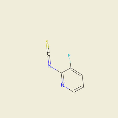 Fc1cccnc1N=C=S